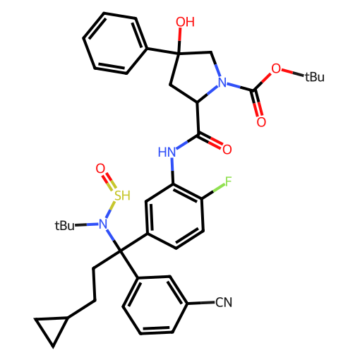 CC(C)(C)OC(=O)N1CC(O)(c2ccccc2)CC1C(=O)Nc1cc(C(CCC2CC2)(c2cccc(C#N)c2)N([SH]=O)C(C)(C)C)ccc1F